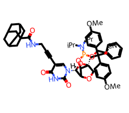 COc1ccc(C(C[C@@]23COC([C@H](n4cc(C#CCNC(=O)C56CC7CC(CC(C7)C5)C6)c(=O)[nH]c4=O)O2)[C@H]3OP(OCCC#N)N(C(C)C)C(C)C)(c2ccccc2)c2ccc(OC)cc2)cc1